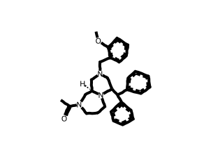 COc1ccccc1CN1CC(C(c2ccccc2)c2ccccc2)N2CCCN(C(C)=O)C[C@H]2C1